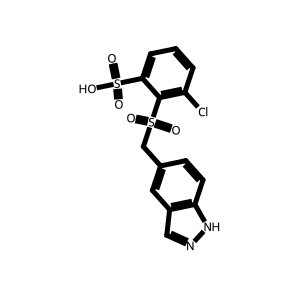 O=S(=O)(O)c1cccc(Cl)c1S(=O)(=O)Cc1ccc2[nH]ncc2c1